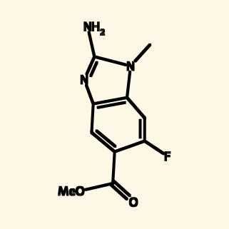 COC(=O)c1cc2nc(N)n(C)c2cc1F